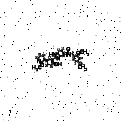 COc1ccc(CNC(=O)c2ccc3[nH]c(-c4cc(-c5cccnc5OC)ccc4O)nc3c2)c(OC)c1